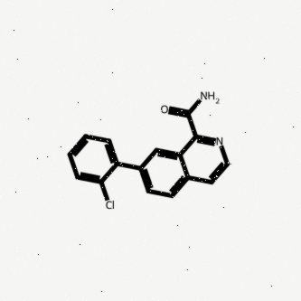 NC(=O)c1n[c]cc2ccc(-c3ccccc3Cl)cc12